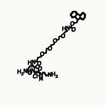 C[C@H](NC(=O)[C@H](CC(N)=O)NC(=O)CCOCCOCCOCCOCCNC(=O)OCC1c2ccccc2-c2ccccc21)C(=O)NCCN